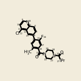 Cc1cc(-c2ccc3nccc(Cl)c3c2)c(F)cc1C(=O)N1CCN(C(=O)C(C)C)CC1